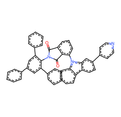 O=C1c2cccc(-n3c4ccccc4c4ccc(-c5ccncc5)cc43)c2C(=O)N1c1c(-c2ccccc2)cc(-c2ccccc2)cc1-c1ccccc1